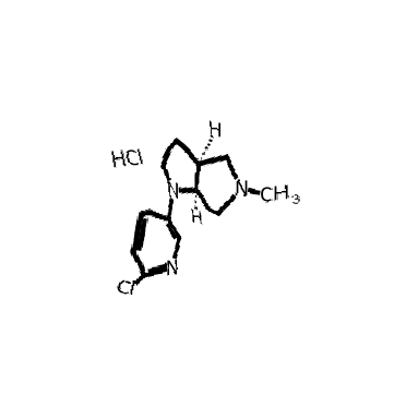 CN1C[C@@H]2CCN(c3ccc(Cl)nc3)[C@@H]2C1.Cl